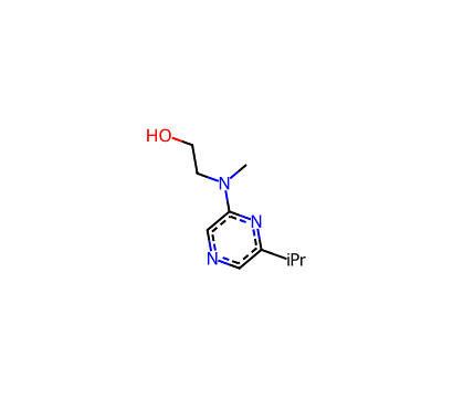 CC(C)c1cncc(N(C)CCO)n1